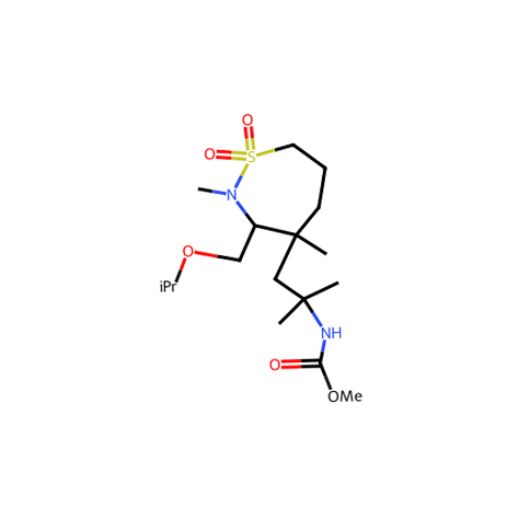 COC(=O)NC(C)(C)CC1(C)CCCS(=O)(=O)N(C)C1COC(C)C